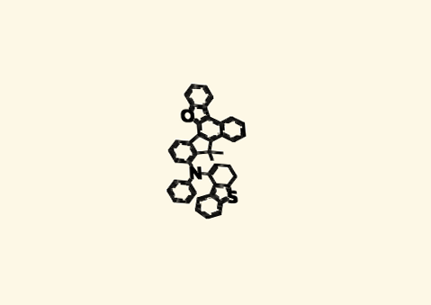 CC1(C)c2c(cccc2N(C2=CCCc3sc4ccccc4c32)c2ccccc2)-c2c1c1ccccc1c1c2oc2ccccc21